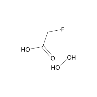 O=C(O)CF.OO